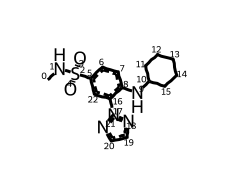 CNS(=O)(=O)c1ccc(NC2CCCCC2)c(-n2nccn2)c1